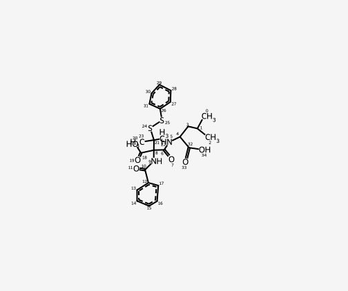 CC(C)CC(NC(=O)C(NC(=O)c1ccccc1)(C(=O)O)C(C)(C)SSc1ccccc1)C(=O)O